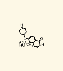 COC(C)=O.Cl.O=c1[nH]ccc2cc(OC3CCNCC3)ccc12